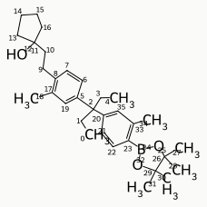 CCC(CC)(c1ccc(CCC2(O)CCCC2)c(C)c1)c1ccc(B2OC(C)(C)C(C)(C)O2)c(C)c1